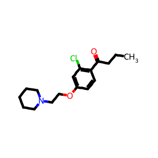 CCCC(=O)c1ccc(OCCN2CCCCC2)cc1Cl